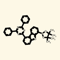 CC1(C)OB(c2cccc3c2oc2cccc(-c4nc(-c5ccccc5)nc(-c5ccccc5)n4)c23)OC1(C)C